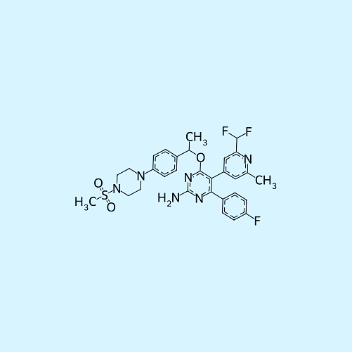 Cc1cc(-c2c(OC(C)c3ccc(N4CCN(S(C)(=O)=O)CC4)cc3)nc(N)nc2-c2ccc(F)cc2)cc(C(F)F)n1